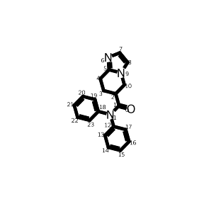 O=C(C1CCc2nccn2C1)N(c1ccccc1)c1ccccc1